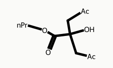 CCCOC(=O)C(O)(CC(C)=O)CC(C)=O